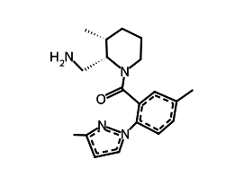 Cc1ccc(-n2ccc(C)n2)c(C(=O)N2CCC[C@@H](C)[C@H]2CN)c1